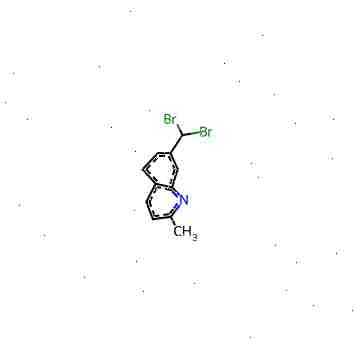 Cc1ccc2ccc(C(Br)Br)cc2n1